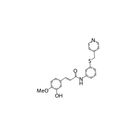 COc1ccc(C=CC(=O)Nc2cccc(SCc3ccncc3)c2)cc1O